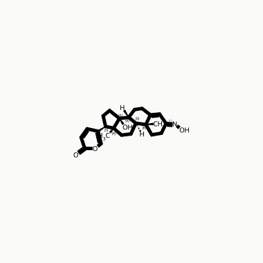 C[C@]12CC/C(=N\O)C=C1CC[C@@H]1[C@@H]2CC[C@]2(C)[C@@H](c3ccc(=O)oc3)CC[C@]12O